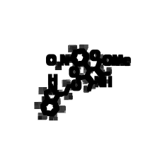 COC(=O)C1=C(C)NC(C)=C(C(=O)OCCC2NCc3ccccc32)C1c1cccc([N+](=O)[O-])c1